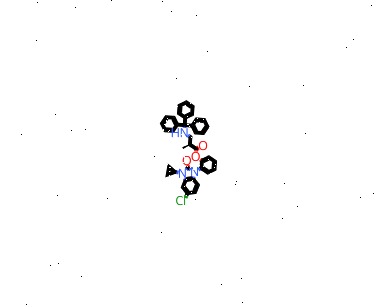 C[C@@H](CNC(c1ccccc1)(c1ccccc1)c1ccccc1)C(=O)Oc1ccccc1-n1c(=O)n(C2CC2)c2cc(Cl)ccc21